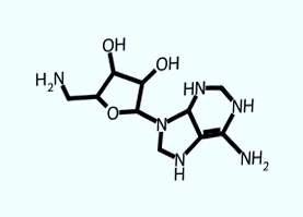 NCC1OC(N2CNC3=C(N)NCNC32)C(O)C1O